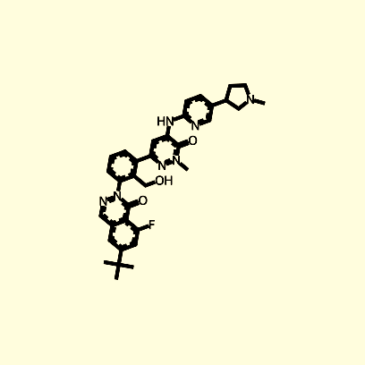 CN1CCC(c2ccc(Nc3cc(-c4cccc(-n5ncc6cc(C(C)(C)C)cc(F)c6c5=O)c4CO)nn(C)c3=O)nc2)C1